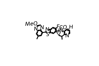 COc1cnc2c(-c3nc4cc(F)c(OCC(C)c5ncccc5NC(=O)O)cc4s3)cc(C)cc2n1